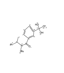 CC(C)C(C)N(C(=O)c1cccc(C(O)(O)C(F)(F)F)c1)C(C)(C)C